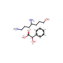 NCCCC(N)CCCO.O=C(O)C(O)c1ccccc1